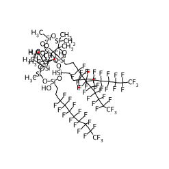 CC12O[SiH](CCC(F)(F)C(F)(F)C(F)(F)C(F)(F)C(F)(F)C(F)(F)C(F)(F)C(F)(F)F)O[Si](O)(CCC(F)(F)C(F)(F)C(F)(F)C(F)(F)C(F)(F)C(F)(F)C(F)(F)C(F)(F)F)O[Si](C)(O[Si]1(C)C)O[Si](C)(C)C2(O)C12O[Si]3(CCC(F)(F)C(F)(F)C(F)(F)C(F)(F)C(F)(F)C(F)(F)C(F)(F)C(F)(F)F)OC1(C)[Si](C)(C)O[Si](C)(O3)O[Si]2(C)C